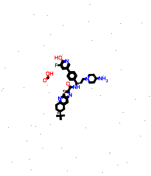 CC(C)(C)[C@H]1CCc2nc3sc(C(=O)N[C@H](CCN4CCC(N)CC4)c4ccc(-c5cnc(O)c(F)c5)cc4)nc3cc2C1.O=CO